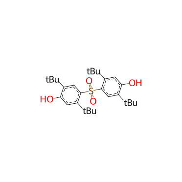 CC(C)(C)c1cc(S(=O)(=O)c2cc(C(C)(C)C)c(O)cc2C(C)(C)C)c(C(C)(C)C)cc1O